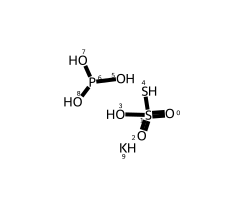 O=S(=O)(O)S.OP(O)O.[KH]